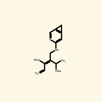 C=C/C(OC)=C(/CNc1cc2c(cn1)C2)C(C)OC